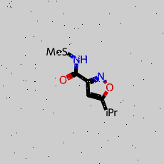 CSNC(=O)c1cc(C(C)C)on1